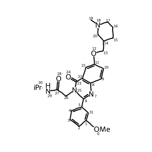 COc1cccc(-c2nc3ccc(OCC4CCCN(C)C4)cc3c(=O)n2CC(=O)NC(C)C)c1